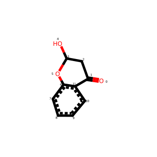 O=C1CC(O)Oc2ccccc21